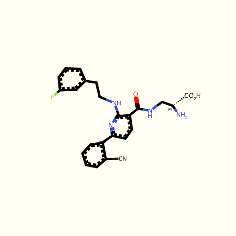 N#Cc1ccccc1-c1ccc(C(=O)NC[C@@H](N)C(=O)O)c(NCCc2cccc(F)c2)n1